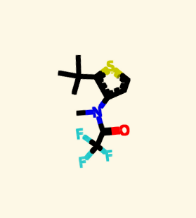 CN(C(=O)C(F)(F)F)c1ccsc1C(C)(C)C